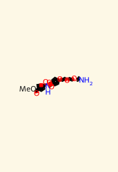 COC(=O)c1ccc(C(=O)NS(=O)(=O)c2ccc(OCCOCCOCCN)cc2)cc1